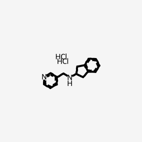 Cl.Cl.c1cncc(CNC2Cc3ccccc3C2)c1